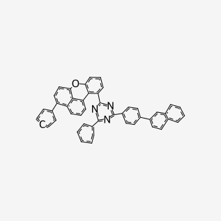 c1ccc(-c2nc(-c3ccc(-c4ccc5ccccc5c4)cc3)nc(-c3cccc4c3-c3cccc5c(-c6ccccc6)ccc(c35)O4)n2)cc1